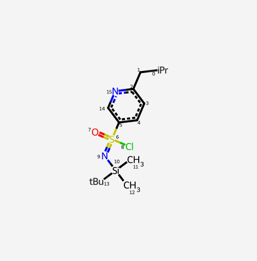 CC(C)Cc1ccc(S(=O)(Cl)=N[Si](C)(C)C(C)(C)C)cn1